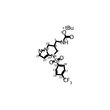 CC(C)(C)OC(=O)NCC1CN(S(=O)(=O)c2ccc(C(F)(F)F)cc2)c2ccnn2C1